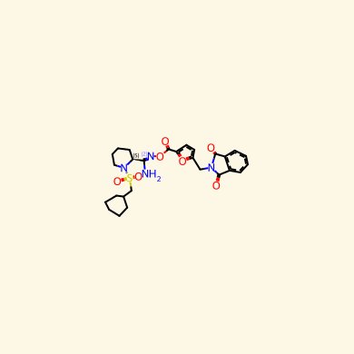 N/C(=N\OC(=O)c1ccc(CN2C(=O)c3ccccc3C2=O)o1)[C@@H]1CCCCN1S(=O)(=O)CC1CCCCC1